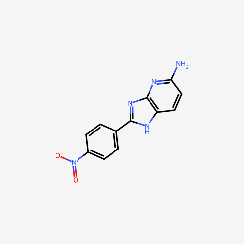 Nc1ccc2[nH]c(-c3ccc([N+](=O)[O-])cc3)nc2n1